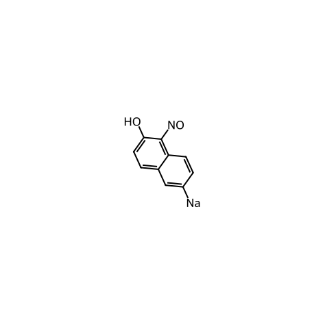 O=Nc1c(O)ccc2c[c]([Na])ccc12